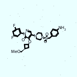 COC[C@H]1C[C@@H](Oc2c(N3CCN(S(=O)(=O)Cc4ccc(N)cc4)CC3)cnn(-c3cc(F)cc(F)c3)c2=O)C1